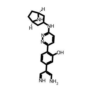 N=C/C(=C\N)c1ccc(-c2ccc(NC3C[C@H]4CC[C@@H](C3)N4)nn2)c(O)c1